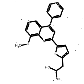 COc1cccc2c(-c3ccccc3)cc(-c3ccc(CC(N)O)s3)nc12